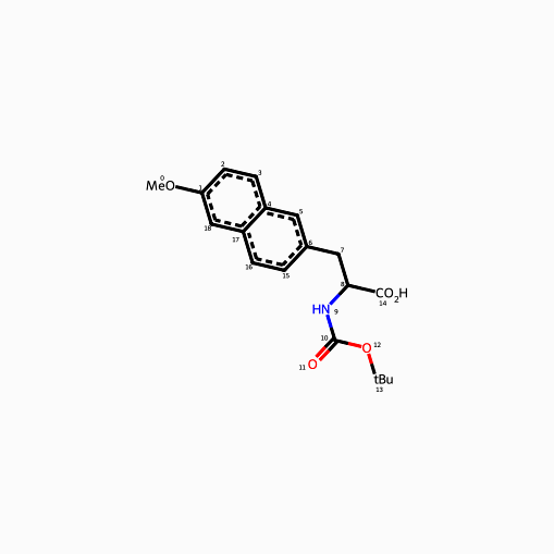 COc1ccc2cc(CC(NC(=O)OC(C)(C)C)C(=O)O)ccc2c1